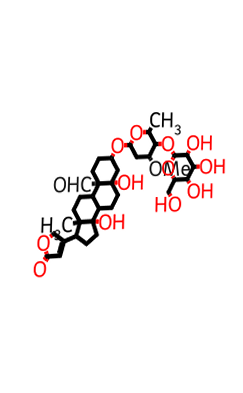 COC1CC(OC2CCC3(C=O)C4CCC5(C)C(C6=CC(=O)OC6)CCC5(O)C4CCC3(O)C2)OC(C)C1OC1OC(CO)C(O)C(O)C1O